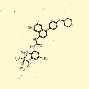 COc1c(NC(=O)Nc2ccc(-c3ccc(CN4CCOCC4)nc3)c3ccccc23)cc(C(C)(C)C)cc1N(CC(=O)O)S(C)(=O)=O.N